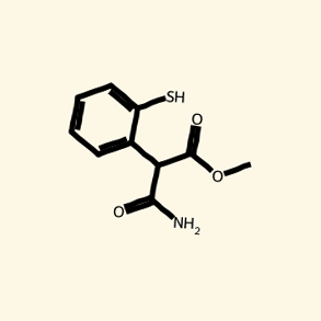 COC(=O)C(C(N)=O)c1ccccc1S